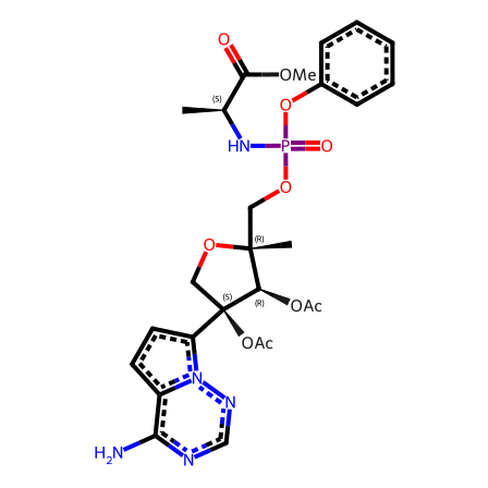 COC(=O)[C@H](C)NP(=O)(OC[C@@]1(C)OC[C@@](OC(C)=O)(c2ccc3c(N)ncnn23)[C@@H]1OC(C)=O)Oc1ccccc1